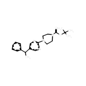 CC(c1ccccc1)c1cnc(N2CCN(C(=O)OC(C)(C)C)CC2)nc1